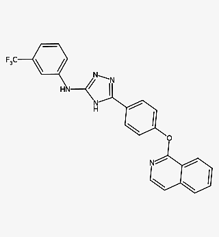 FC(F)(F)c1cccc(Nc2nnc(-c3ccc(Oc4nccc5ccccc45)cc3)[nH]2)c1